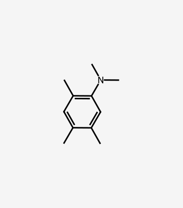 Cc1cc(C)c(N(C)C)cc1C